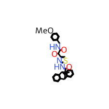 COc1ccc(CNC(=O)C(=O)c2csc(NC(=O)C3(C)CC4c5ccccc5C3c3ccccc34)n2)cc1